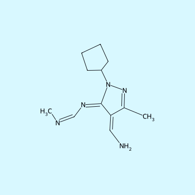 C\N=C/N=C1\C(=C\N)C(C)=NN1C1CCCC1